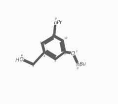 CCCCOc1cc([CH]O)cc(CCC)c1